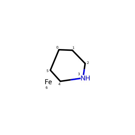 C1CCNCC1.[Fe]